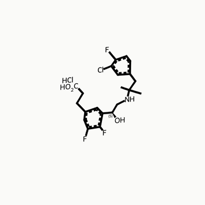 CC(C)(Cc1ccc(F)c(Cl)c1)NC[C@@H](O)c1cc(CCC(=O)O)cc(F)c1F.Cl